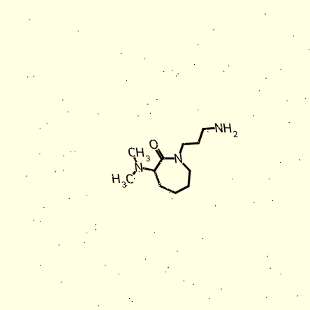 CN(C)C1CCCCN(CCCN)C1=O